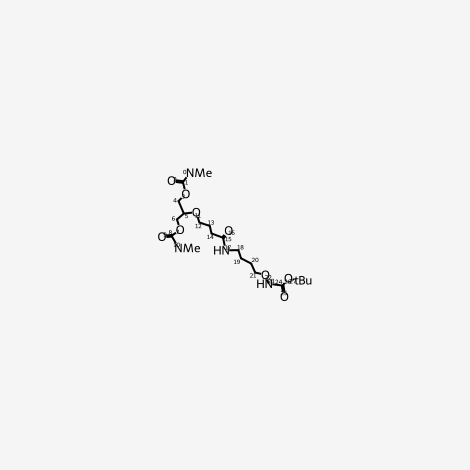 CNC(=O)OCC(COC(=O)NC)OCCCC(=O)NCCCCONC(=O)OC(C)(C)C